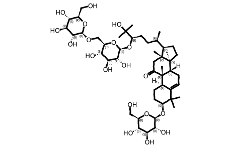 C[C@H](CC[C@@H](O[C@@H]1O[C@H](CO[C@@H]2O[C@H](CO)[C@@H](O)[C@H](O)[C@H]2O)[C@@H](O)[C@H](O)[C@H]1O)C(C)(C)O)[C@H]1CC[C@@]2(C)[C@@H]3CC=C4[C@@H](CC[C@H](O[C@@H]5O[C@H](CO)[C@@H](O)[C@H](O)[C@H]5O)C4(C)C)[C@]3(C)C(=O)C[C@]12C